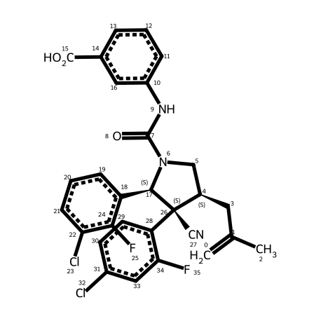 C=C(C)C[C@@H]1CN(C(=O)Nc2cccc(C(=O)O)c2)[C@H](c2cccc(Cl)c2F)[C@@]1(C#N)c1ccc(Cl)cc1F